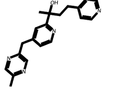 Cc1cnc(Cc2ccnc(C(C)(O)CCc3ccncc3)c2)cn1